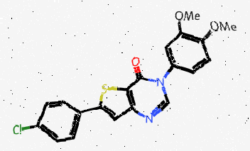 [CH2]Oc1ccc(-n2cnc3cc(-c4ccc(Cl)cc4)sc3c2=O)cc1OC